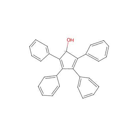 O[C]1C(c2ccccc2)=C(c2ccccc2)C(c2ccccc2)=C1c1ccccc1